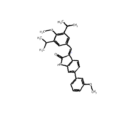 COc1cccc(-c2ccc3c(c2)NC(=O)/C3=C\c2cc(C(C)C)c(OC)c(C(C)C)c2)c1